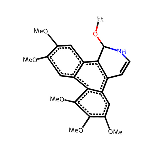 CCOC1NC=Cc2c1c1cc(OC)c(OC)cc1c1c(OC)c(OC)c(OC)cc21